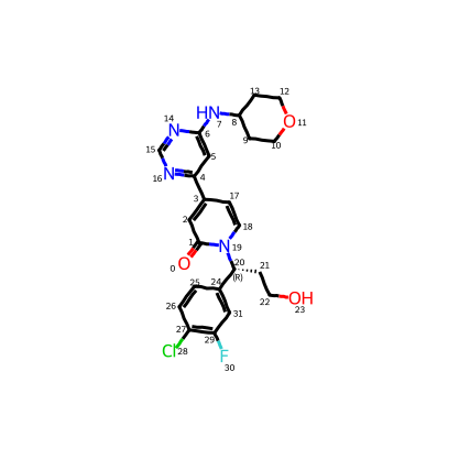 O=c1cc(-c2cc(NC3CCOCC3)ncn2)ccn1[C@H](CCO)c1ccc(Cl)c(F)c1